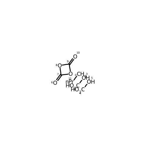 CCCC.O=C(O)O.O=C(O)O.O=C1OC(=O)O1